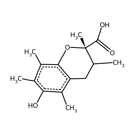 Cc1c(C)c2c(c(C)c1O)CC(C)[C@@](C)(C(=O)O)O2